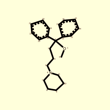 COC(CCCN1CCCCC1)(c1ccccc1)c1ccccc1